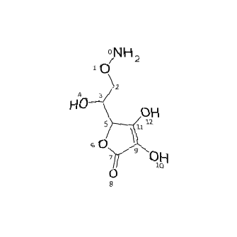 NOCC(O)C1OC(=O)C(O)=C1O